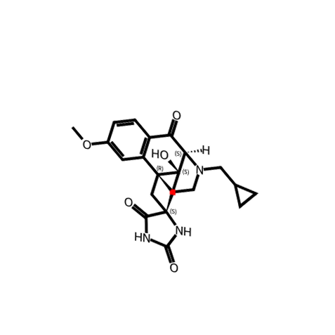 COc1ccc2c(c1)[C@]13CCN(CC4CC4)[C@H](C2=O)[C@]1(O)CC[C@@]1(C3)NC(=O)NC1=O